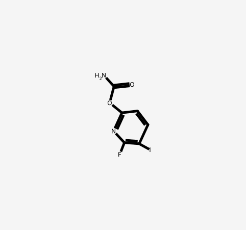 NC(=O)Oc1ccc(I)c(F)n1